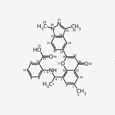 Cc1cc(C(C)Nc2ccccc2C(=O)O)c2oc(-c3ccc4c(c3)c(C)nn4C)cc(=O)c2c1